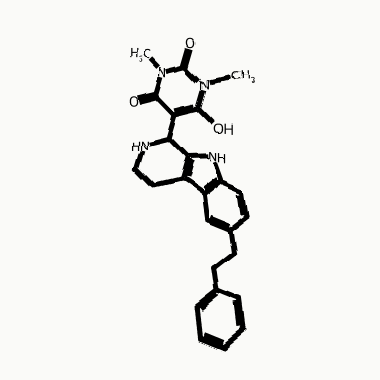 Cn1c(O)c(C2NCCc3c2[nH]c2ccc(CCc4ccccc4)cc32)c(=O)n(C)c1=O